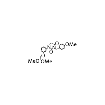 COc1ccc(CN2C(=O)CCN(c3cccc(OCC(OC)OC)c3)C2=O)cc1